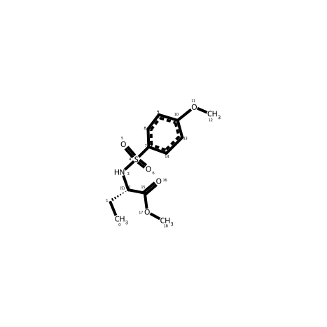 CC[C@H](NS(=O)(=O)c1ccc(OC)cc1)C(=O)OC